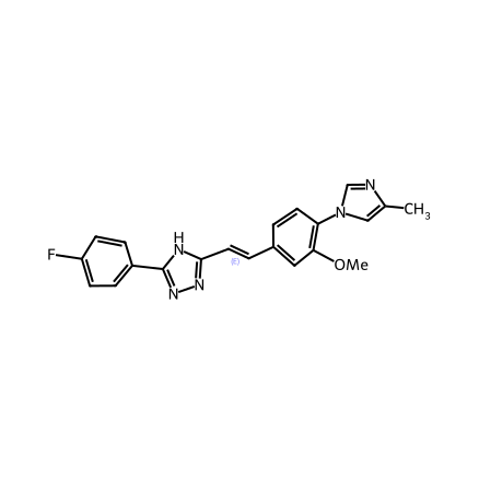 COc1cc(/C=C/c2nnc(-c3ccc(F)cc3)[nH]2)ccc1-n1cnc(C)c1